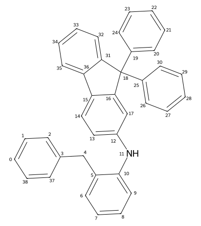 c1ccc(Cc2ccccc2Nc2ccc3c(c2)C(c2ccccc2)(c2ccccc2)c2ccccc2-3)cc1